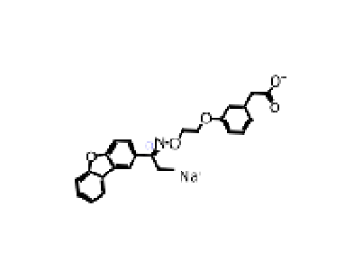 CC/C(=N\OCCOc1cccc(CC(=O)[O-])c1)c1ccc2oc3ccccc3c2c1.[Na+]